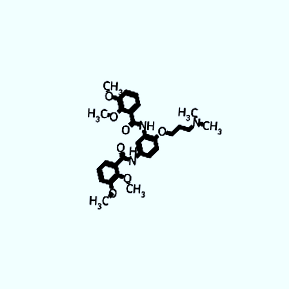 COc1cccc(C(=O)Nc2ccc(OCCCN(C)C)c(NC(=O)c3cccc(OC)c3OC)c2)c1OC